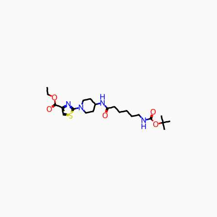 CCOC(=O)c1csc(N2CCC(NC(=O)CCCCCNC(=O)OC(C)(C)C)CC2)n1